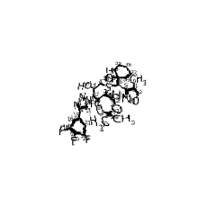 Cc1conc1[C@@H]([SH]1C[C@H](O)[C@@H](n2cc(-c3cc(F)c(F)c(F)c3)nn2)[C@H]2OC(C)(C)OC[C@H]21)C1(O)CCCCC1